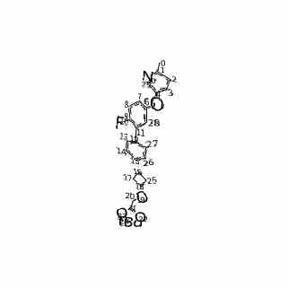 Cc1ccc(Oc2ccc(F)c(-c3ccc([C@H]4C[C@@H](OCC(=O)OC(C)(C)C)C4)cc3)c2)cn1